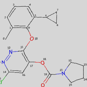 Cc1cccc(C2CC2)c1Oc1nnc(Cl)cc1OC(=O)N1CCCC1